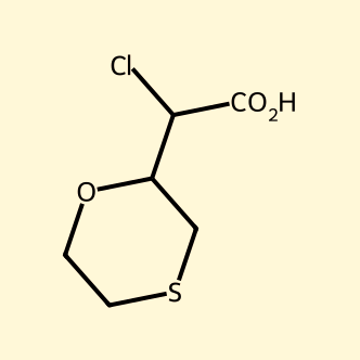 O=C(O)C(Cl)C1CSCCO1